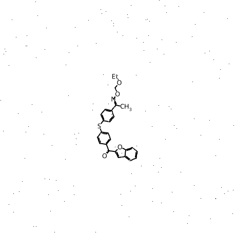 CCOCO/N=C(\C)c1ccc(Sc2ccc(C(=O)c3cc4ccccc4o3)cc2)cc1